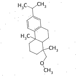 COCC1(C)CCCC2(C)c3ccc(C(C)C)cc3CCC12